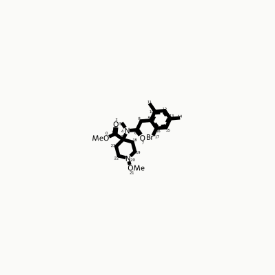 COC(=O)C1(N(C)C(=O)Cc2c(C)cc(C)cc2Br)CCN(OC)CC1